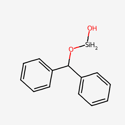 O[SiH2]OC(c1ccccc1)c1ccccc1